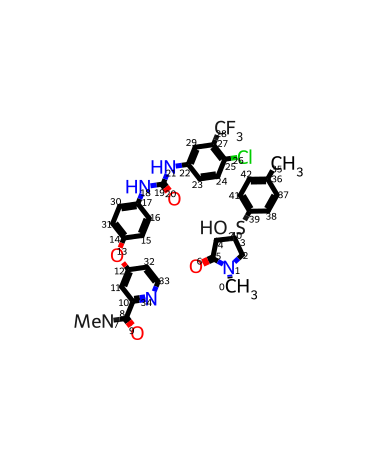 CN1CCCC1=O.CNC(=O)c1cc(Oc2ccc(NC(=O)Nc3ccc(Cl)c(C(F)(F)F)c3)cc2)ccn1.Cc1ccc(S(=O)(=O)O)cc1